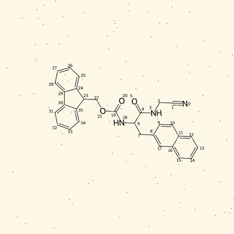 N#CCNC(=O)C(Cc1ccc2ccccc2c1)NC(=O)OCC1c2ccccc2-c2ccccc21